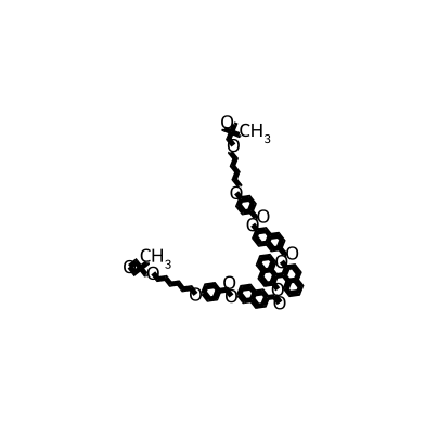 CCC1(COCCCCCCOc2ccc(C(=O)Oc3ccc4cc(C(=O)Oc5ccc6ccccc6c5-c5c(OC(=O)c6ccc7cc(OC(=O)c8ccc(OCCCCCCOCC9(CC)COC9)cc8)ccc7c6)ccc6ccccc56)ccc4c3)cc2)COC1